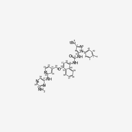 Cc1ccc(-n2nc(C(C)(C)C)cc2NC(=O)Nc2ccc(OCc3ccnc(Nc4cncc(N)n4)c3)c3ccccc23)cc1